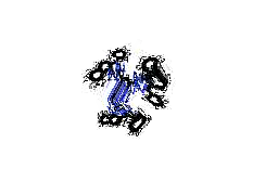 c1ccc(-c2nc(-c3cc(-c4nc(-c5ccccc5)c5ccc6ccccc6c5n4)nc(-c4nc(-c5ccccc5)c5ccc6ccccc6c5n4)n3)nc3c2ccc2ccccc23)cc1